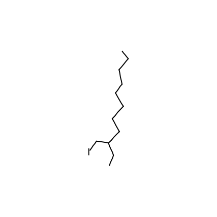 CCCCCCCCC(CC)CI